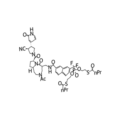 CCCC(=O)SCCOP(=O)(OCCSC(=O)CCC)C(F)(F)c1ccc2ccc(C(=O)NCC3CN(C(C)=O)CC[C@H]4CC[C@@H](C(=O)N5C[C@@H](C#N)[C@H](c6cc[nH]c(=O)c6)C5)N4C3=O)cc2c1